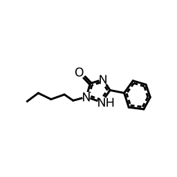 CCCCCn1[nH]c(-c2ccccc2)nc1=O